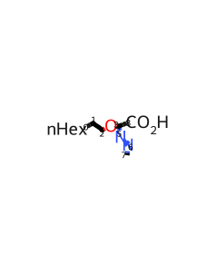 CCCCCCCCOC(N=NC)C(=O)O